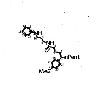 CCCCCC(=CC=CC(=O)NCCCNc1cccnc1)c1ccc(OC)cc1